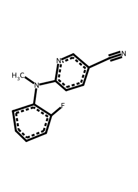 CN(c1ccc(C#N)cn1)c1ccccc1F